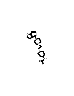 CC(=O)N[C@H]1CC[C@H](CCN2CCN(c3nccc4c3CCO4)CC2)CC1